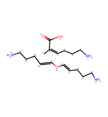 CC(=CCCCN)C(=O)O.NCCCC=COC=CCCCN